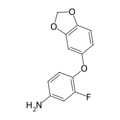 Nc1ccc(Oc2ccc3c(c2)OCO3)c(F)c1